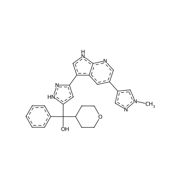 Cn1cc(-c2cnc3[nH]cc(-c4cc(C(O)(c5ccccc5)C5CCOCC5)[nH]n4)c3c2)cn1